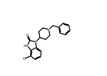 O=c1[nH]c2c(Cl)cccc2n1C1CCN(Cc2ccccc2)CC1